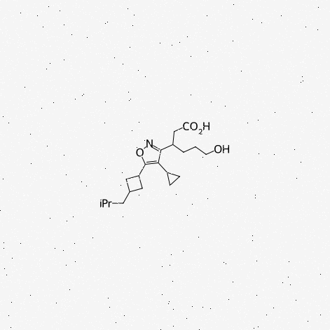 CC(C)CC1CC(c2onc(C(CCCO)CC(=O)O)c2C2CC2)C1